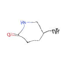 [CH2]CCC1CCC(=O)NC1